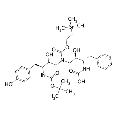 CC(C)(C)OC(=O)N[C@@H](Cc1ccc(O)cc1)C(O)CN(C[C@@H](O)[C@H](Cc1ccccc1)NC(=O)O)C(=O)OCC[Si](C)(C)C